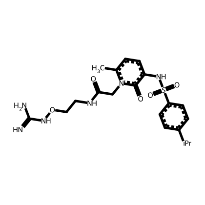 Cc1ccc(NS(=O)(=O)c2ccc(C(C)C)cc2)c(=O)n1CC(=O)NCCONC(=N)N